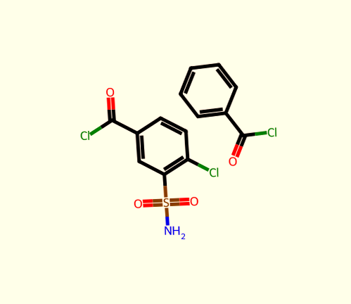 NS(=O)(=O)c1cc(C(=O)Cl)ccc1Cl.O=C(Cl)c1ccccc1